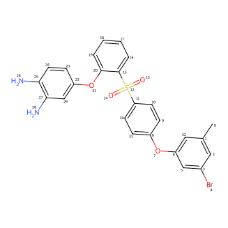 Cc1cc(Br)cc(Oc2ccc(S(=O)(=O)c3ccccc3Oc3ccc(N)c(N)c3)cc2)c1